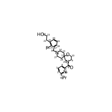 CC(C)c1cccc(C(=O)N2CCOC3(CCN(Cc4cccc(CCO)c4F)CC3)C2)n1